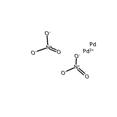 O=[N+]([O-])[O-].O=[N+]([O-])[O-].[Pd+2].[Pd]